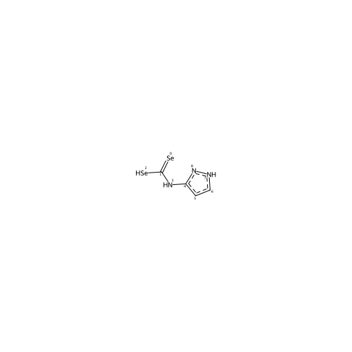 [Se]=C([SeH])Nc1cc[nH]n1